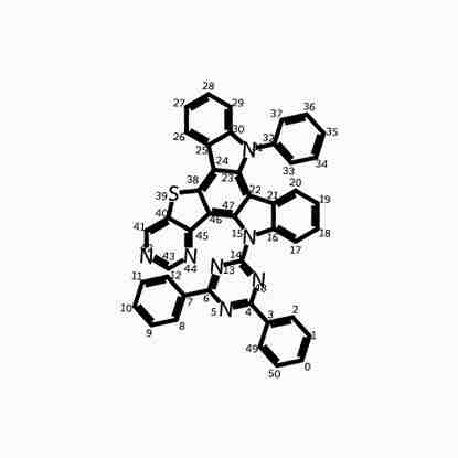 c1ccc(-c2nc(-c3ccccc3)nc(-n3c4ccccc4c4c5c(c6ccccc6n5-c5ccccc5)c5sc6cncnc6c5c43)n2)cc1